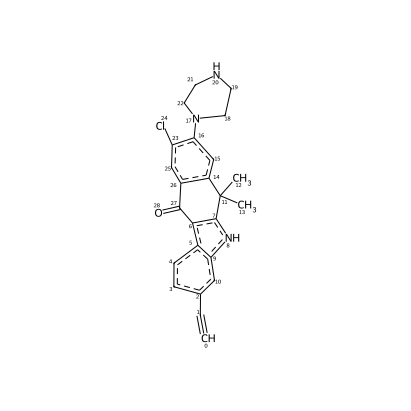 C#Cc1ccc2c3c([nH]c2c1)C(C)(C)c1cc(N2CCNCC2)c(Cl)cc1C3=O